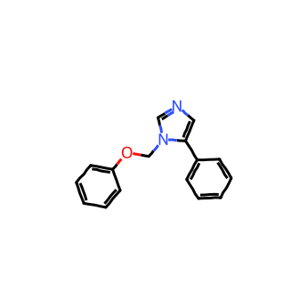 c1ccc(OCn2cncc2-c2ccccc2)cc1